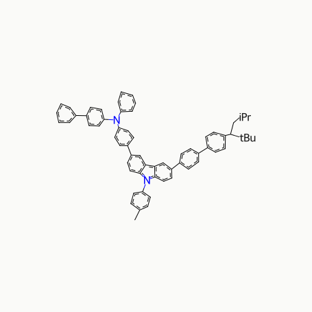 Cc1ccc(-n2c3ccc(-c4ccc(-c5ccc(C(CC(C)C)C(C)(C)C)cc5)cc4)cc3c3cc(-c4ccc(N(c5ccccc5)c5ccc(-c6ccccc6)cc5)cc4)ccc32)cc1